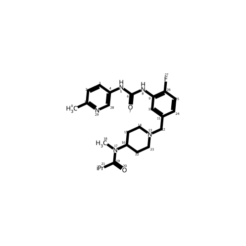 Cc1ccc(NC(=O)Nc2cc(CN3CCC(N(C)C(=O)C(C)C)CC3)ccc2F)cn1